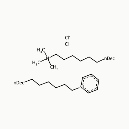 CCCCCCCCCCCCCCCC[N+](C)(C)C.CCCCCCCCCCCCCCCC[n+]1ccccc1.[Cl-].[Cl-]